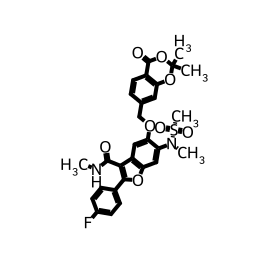 CNC(=O)c1c(-c2ccc(F)cc2)oc2cc(N(C)S(C)(=O)=O)c(OCc3ccc4c(c3)OC(C)(C)OC4=O)cc12